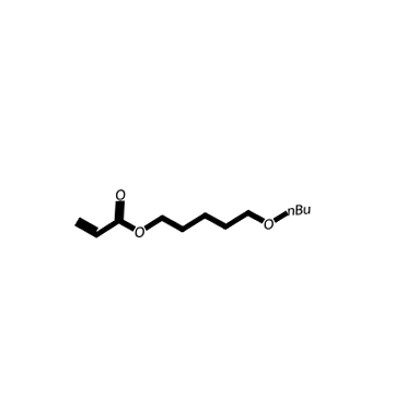 C=CC(=O)OCCCCCOCCCC